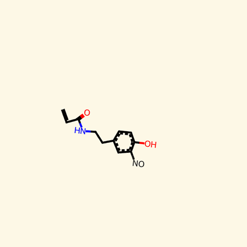 C=CC(=O)NCCc1ccc(O)c(N=O)c1